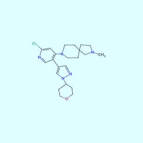 CN1CCC2(CCN(c3cc(Cl)ncc3-c3cnn(C4CCOCC4)c3)CC2)C1